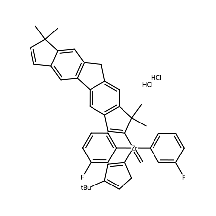 Cl.Cl.[CH2]=[Zr]([C]1=CC(C(C)(C)C)=CC1)([C]1=Cc2cc3c(cc2C1(C)C)Cc1cc2c(cc1-3)C=CC2(C)C)([c]1cccc(F)c1)[c]1cccc(F)c1